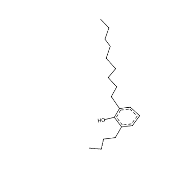 CCCCCCCCCc1cccc(CCCC)c1O